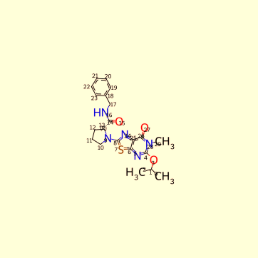 CC(C)Oc1nc2sc(N3CCC[C@@H]3C(=O)NCc3ccccc3)nc2c(=O)n1C